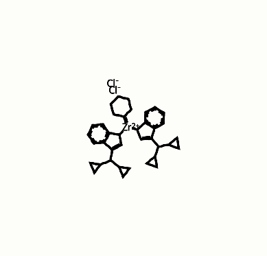 C1=C(C(C2CC2)C2CC2)c2ccccc2[CH]1[Zr+2](=[C]1CCCCC1)[CH]1C=C(C(C2CC2)C2CC2)c2ccccc21.[Cl-].[Cl-]